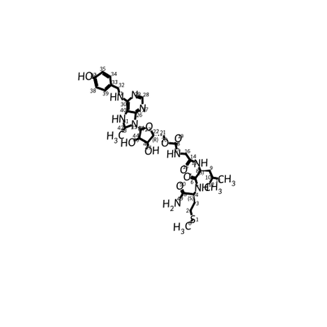 CSCC[C@H](NC(=O)[C@H](CC(C)C)NC(=O)CNC(=O)OC[C@H]1O[C@@H](N2c3ncnc(NCc4ccc(O)cc4)c3NC2C)C(O)C1O)C(N)=O